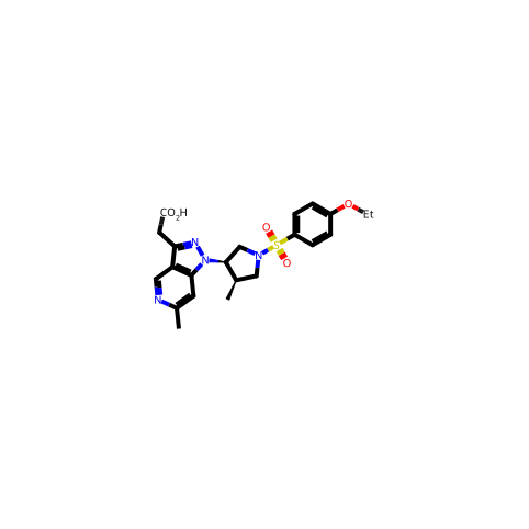 CCOc1ccc(S(=O)(=O)N2C[C@@H](C)[C@@H](n3nc(CC(=O)O)c4cnc(C)cc43)C2)cc1